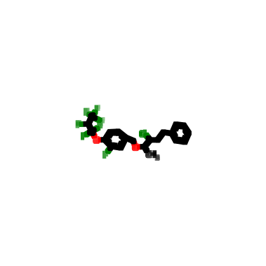 CC(OCc1ccc(OC(F)(F)C(F)C(F)(F)F)c(F)c1)C(Cl)CCc1ccccc1